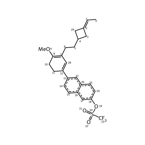 CC=C1CC(CCC2=C(OC)CCC(c3ccc4cc(OS(=O)(=O)C(F)(F)F)ccc4c3)=C2)C1